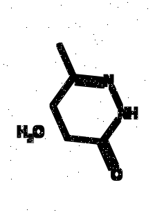 CC1=NNC(=O)CC1.O